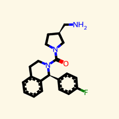 NC[C@@H]1CCN(C(=O)N2CCc3ccccc3[C@@H]2c2ccc(F)cc2)C1